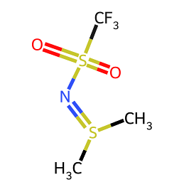 CS(C)=NS(=O)(=O)C(F)(F)F